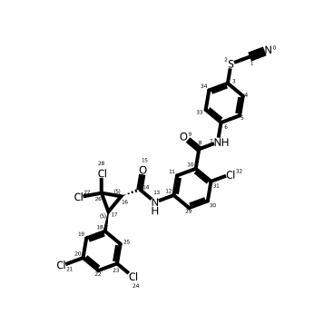 N#CSc1ccc(NC(=O)c2cc(NC(=O)[C@@H]3[C@@H](c4cc(Cl)cc(Cl)c4)C3(Cl)Cl)ccc2Cl)cc1